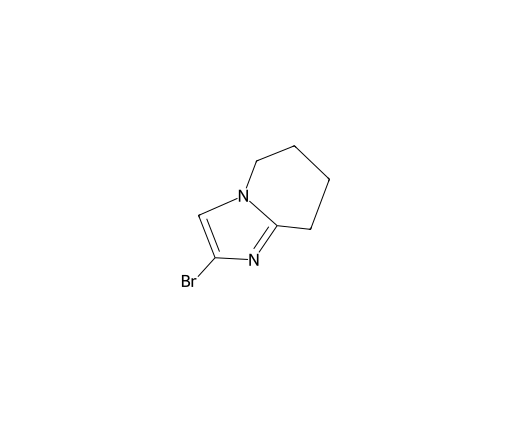 Brc1cn2c(n1)CCCC2